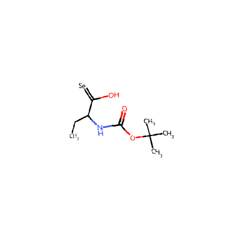 CCC(NC(=O)OC(C)(C)C)C(O)=[Se]